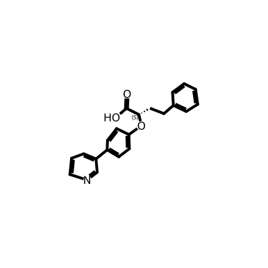 O=C(O)[C@H](CCc1ccccc1)Oc1ccc(-c2cccnc2)cc1